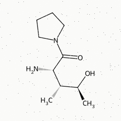 C[C@@H]([C@H](C)O)[C@H](N)C(=O)N1CCCC1